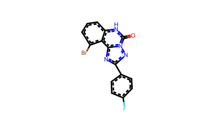 O=c1[nH]c2cccc(Br)c2c2nc(-c3ccc(F)cc3)nn12